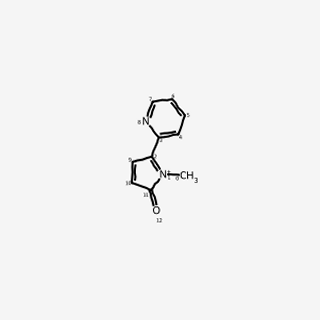 C[N+]1=C(c2ccccn2)[C]=CC1=O